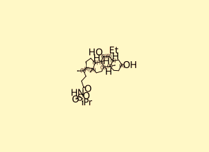 CC[C@H]1[C@@H](O)[C@@H]2[C@H](CC[C@]3(C)[C@@H]([C@H](C)CCC(=O)NS(=O)(=O)C(C)C)CC[C@@H]23)[C@@]2(C)CC[C@@H](O)C[C@@H]12